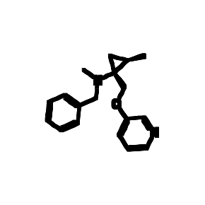 C[C@@H]1C[C@@]1(COc1cccnc1)N(C)Cc1ccccc1